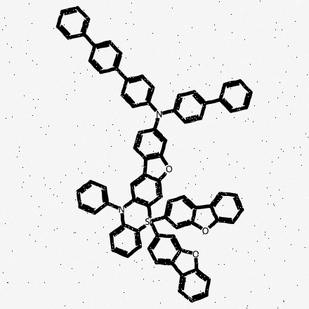 c1ccc(-c2ccc(-c3ccc(N(c4ccc(-c5ccccc5)cc4)c4ccc5c(c4)oc4cc6c(cc45)N(c4ccccc4)c4ccccc4[Si]6(c4ccc5c(c4)oc4ccccc45)c4ccc5c(c4)oc4ccccc45)cc3)cc2)cc1